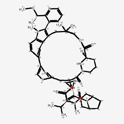 CO[C@@H](C)c1ncccc1-c1c2c3cc(ccc3n1C)-c1csc(n1)C[C@H](NC(=O)[C@H](C(C)C)N(C)C(=O)N1C3CCC1CN(C(=O)[C@@H]1CN1)C3)C(=O)N1CCC[C@H](N1)C(=O)OCC(C)(C)C2